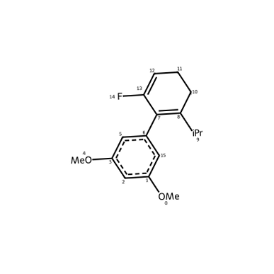 COc1cc(OC)cc(C2=C(C(C)C)[CH]CC=C2F)c1